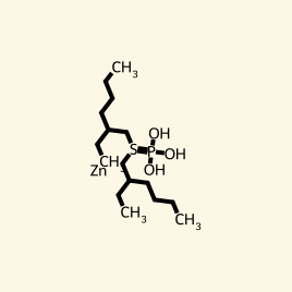 CCCCC(CC)CS(CC(CC)CCCC)=P(O)(O)O.[Zn]